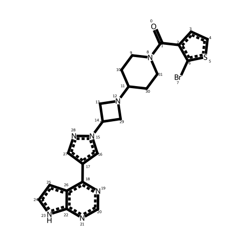 O=C(c1ccsc1Br)N1CCC(N2C[C](n3cc(-c4ncnc5[nH]ccc45)cn3)C2)CC1